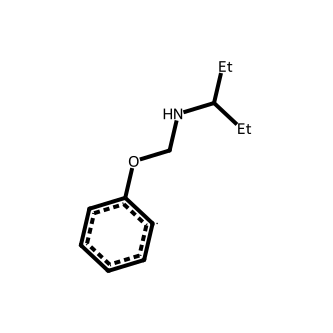 CCC(CC)NCOc1[c]cccc1